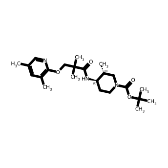 Cc1cnc(OCC(C)(C)C(=O)N[C@@H]2CCN(C(=O)OC(C)(C)C)C[C@H]2C)c(C)c1